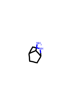 NC1C2CCC1NC2